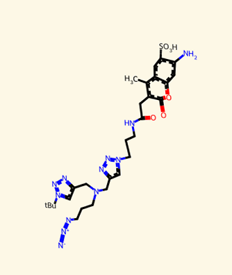 Cc1c(CC(=O)NCCCn2cc(CN(CCCN=[N+]=[N-])Cc3cn(C(C)(C)C)nn3)nn2)c(=O)oc2cc(N)c(S(=O)(=O)O)cc12